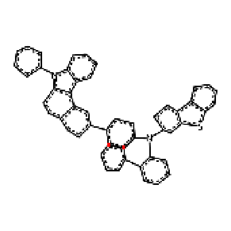 c1ccc(-c2ccccc2N(c2ccc(-c3ccc4ccc5c(c4c3)c3ccccc3n5-c3ccccc3)cc2)c2ccc3c(c2)sc2ccccc23)cc1